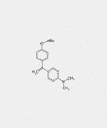 C=C(c1ccc(OCCCC)cc1)c1ccc(N(C)C)cc1